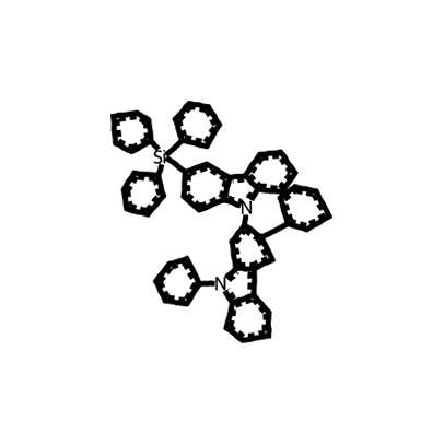 c1ccc(-c2cc3c4ccccc4n(-c4ccccc4)c3cc2-n2c3ccccc3c3cc([Si](c4ccccc4)(c4ccccc4)c4ccccc4)ccc32)cc1